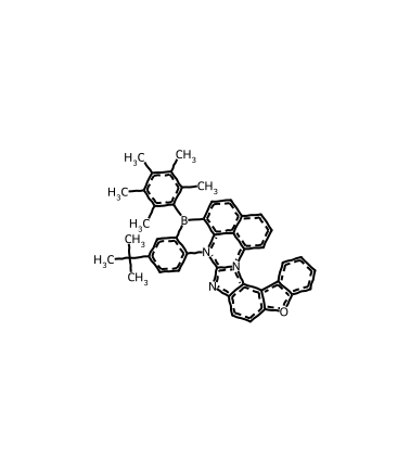 Cc1c(C)c(C)c(B2c3cc(C(C)(C)C)ccc3-n3c4c2ccc2cccc(c24)n2c4c(ccc5oc6ccccc6c54)nc32)c(C)c1C